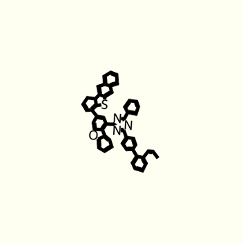 C/C=C\c1ccccc1-c1ccc(-c2nc(-c3ccccc3)nc(-c3cc(C4=C5Sc6cc7ccccc7cc6C5CC=C4)cc4oc5ccccc5c34)n2)cc1